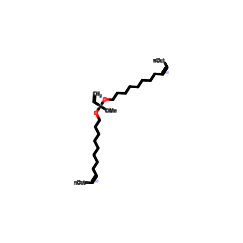 C=C[Si](OC)(OCCCCCCCC/C=C\CCCCCCCC)OCCCCCCCC/C=C\CCCCCCCC